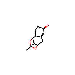 CC1OC2CC3=CC(=O)CCC3C(O1)C2C